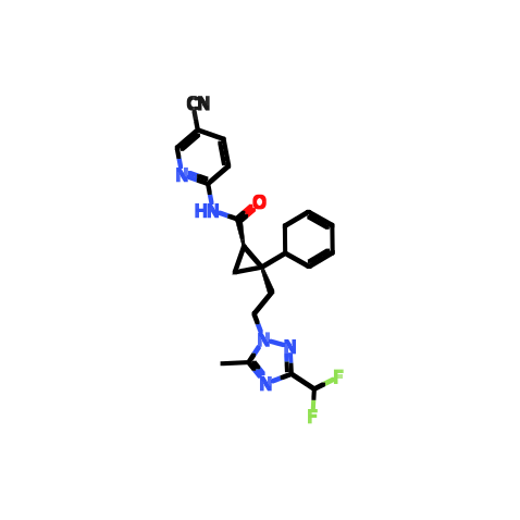 Cc1nc(C(F)F)nn1CC[C@@]1(C2C=CC=CC2)C[C@H]1C(=O)Nc1ccc(C#N)cn1